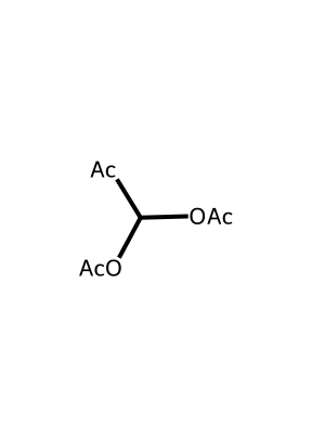 CC(=O)OC(OC(C)=O)C(C)=O